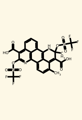 Cc1ccc2c3c(c4cccc5c(C(=O)O)c(OS(=O)(=O)C(F)(F)F)nc2c54)NC(C)(OS(=O)(=O)C(F)(F)F)C(C(=O)O)=c13